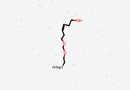 CCCCCCCCCOCOCC/C=C\CCO